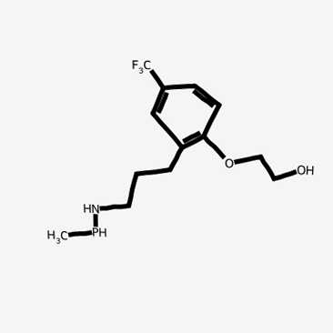 CPNCCCc1cc(C(F)(F)F)ccc1OCCO